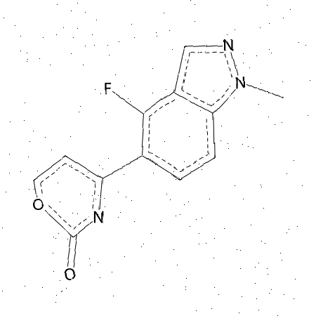 Cn1ncc2c(F)c(-c3ccoc(=O)n3)ccc21